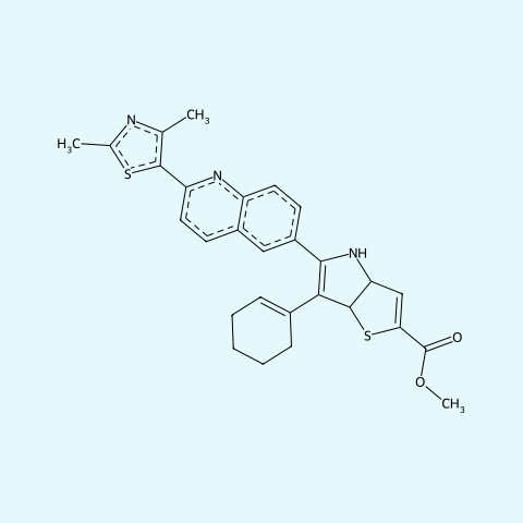 COC(=O)C1=CC2NC(c3ccc4nc(-c5sc(C)nc5C)ccc4c3)=C(C3=CCCCC3)C2S1